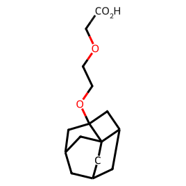 O=C(O)COCCOC12CC3CC4CC(C1)C2(C4)C3